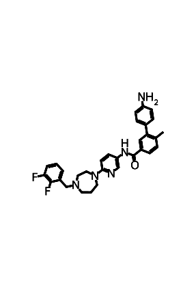 Cc1ccc(C(=O)Nc2ccc(N3CCCN(Cc4cccc(F)c4F)CC3)nc2)cc1-c1ccc(N)cc1